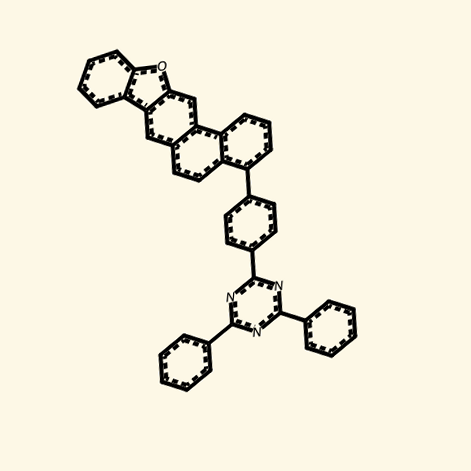 c1ccc(-c2nc(-c3ccccc3)nc(-c3ccc(-c4cccc5c4ccc4cc6c(cc45)oc4ccccc46)cc3)n2)cc1